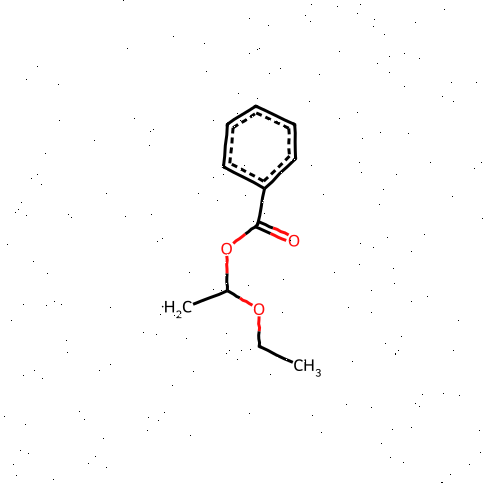 [CH2]C(OCC)OC(=O)c1ccccc1